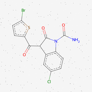 NC(=O)N1C(=O)C(C(=O)c2ccc(Br)s2)c2cc(Cl)ccc21